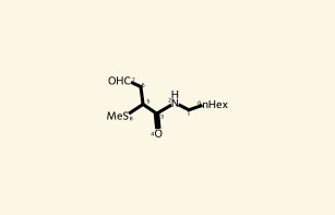 CCCCCCCNC(=O)C(CC=O)SC